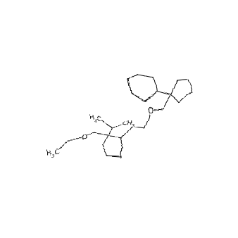 CCOCC1(C(C)C)CCCCC1CCOCC1(C2CCCCC2)CCCC1